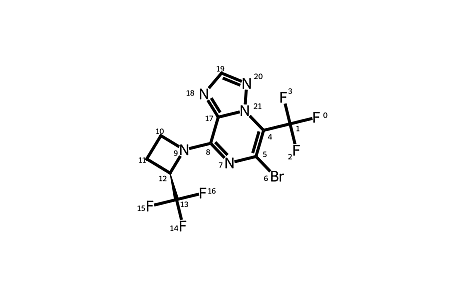 FC(F)(F)c1c(Br)nc(N2CC[C@@H]2C(F)(F)F)c2ncnn12